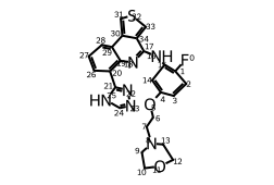 Fc1ccc(OCCN2CCOCC2)cc1Nc1nc2c(-c3nnc[nH]3)cccc2c2cscc12